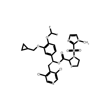 Cn1ccnc1S(=O)(=O)N1CCSC1C(=O)O[C@@H](Cc1c(Cl)cncc1Cl)c1ccc(OC(F)F)c(OCC2CC2)c1